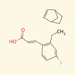 C1=CC2CCC1C2.CCc1cc(F)ccc1C=CC(=O)O